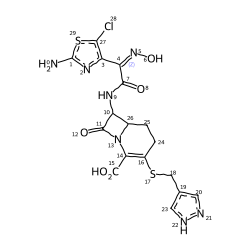 Nc1nc(/C(=N/O)C(=O)NC2C(=O)N3C(C(=O)O)=C(SCc4cn[nH]c4)CCC23)c(Cl)s1